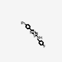 CC(C)c1ccc(-c2cn3nc(NCc4ccc(F)cc4)sc3n2)cc1